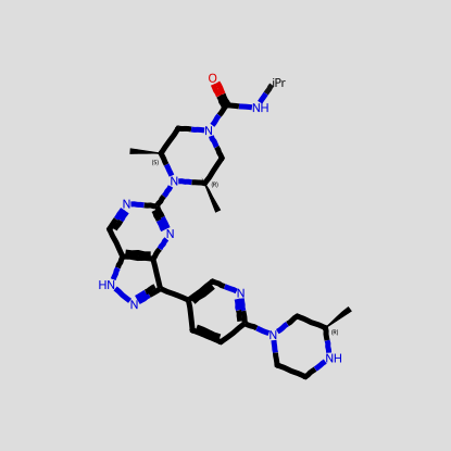 CC(C)NC(=O)N1C[C@@H](C)N(c2ncc3[nH]nc(-c4ccc(N5CCN[C@H](C)C5)nc4)c3n2)[C@@H](C)C1